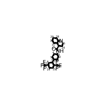 O=C(Nc1ccc(-c2cc(C(F)(F)F)ccc2C(F)(F)F)cc1)c1ccnc2ccccc12